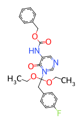 CCOC(Cc1ccc(F)cc1)(OCC)n1cncc(NC(=O)OCc2ccccc2)c1=O